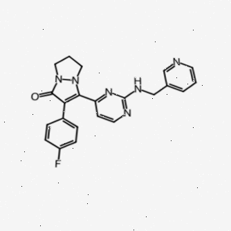 O=c1c(-c2ccc(F)cc2)c(-c2ccnc(NCc3cccnc3)n2)n2n1CCC2